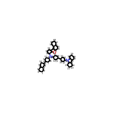 c1ccc2cc(-c3ccc(N(c4ccc(-c5ccc(-n6c7ccccc7c7ccccc76)cc5)cc4)c4cccc5c4oc4ccc6ccccc6c45)cc3)ccc2c1